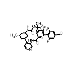 C[C@@H]1CC(NC(=O)OC(C)(C)C)CC(c2ccncc2NC(=O)c2ccc(F)c(-c3c(F)cc(C=O)cc3F)n2)C1